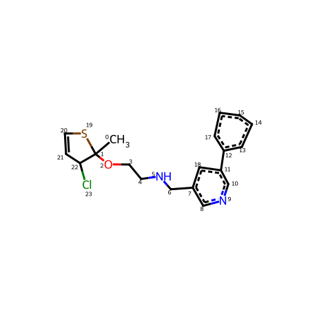 CC1(OCCNCc2cncc(-c3ccccc3)c2)SC=CC1Cl